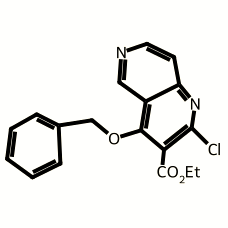 CCOC(=O)c1c(Cl)nc2ccncc2c1OCc1ccccc1